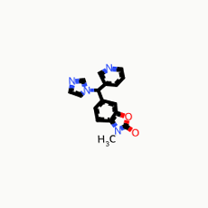 Cn1c(=O)oc2cc(C(c3cccnc3)n3ccnc3)ccc21